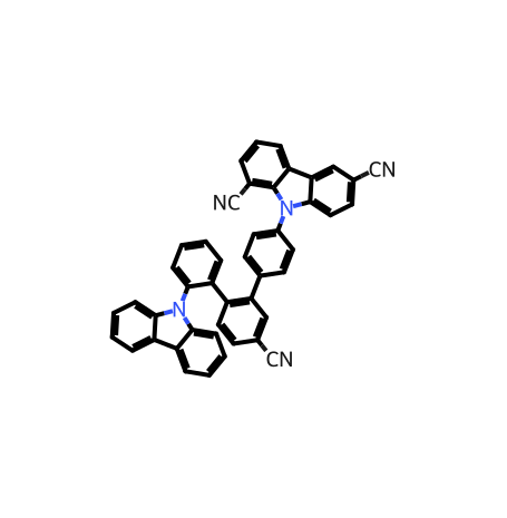 N#Cc1ccc(-c2ccccc2-n2c3ccccc3c3ccccc32)c(-c2ccc(-n3c4ccc(C#N)cc4c4cccc(C#N)c43)cc2)c1